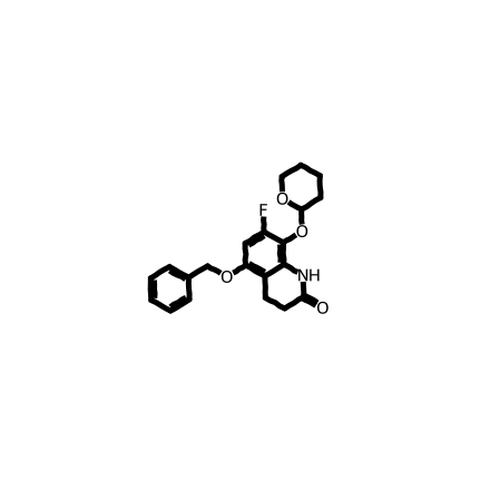 O=C1CCc2c(OCc3ccccc3)cc(F)c(OC3CCCCO3)c2N1